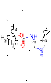 CC(C)(C)OC(=O)N[C@@H]1CNC[C@@H]1C1CC1